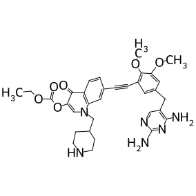 CCOC(=O)Oc1cn(CC2CCNCC2)c2cc(C#Cc3cc(Cc4cnc(N)nc4N)cc(OC)c3OC)ccc2c1=O